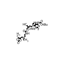 C#CC(CCn1cnc2c(NC(=O)OC(C)(C)C)nc(F)nc21)(COC(=O)NCCN(C)Cc1oc(=O)oc1C)OC